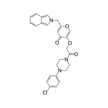 O=C(COc1coc(Cn2cc3ccccc3c2)cc1=O)N1CCN(c2ccc(Cl)cc2)CC1